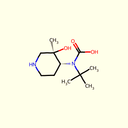 CC(C)(C)N(C(=O)O)[C@@H]1CCNC[C@@]1(C)O